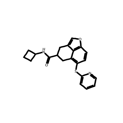 O=C(NC1CCC1)C1Cc2coc3ccc(Sc4ccccn4)c(c23)C1